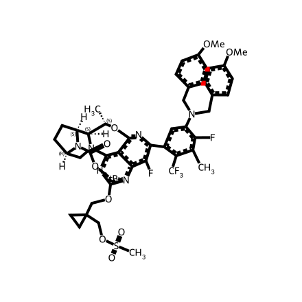 COc1ccc(CN(Cc2ccc(OC)cc2)c2cc(-c3nc4c5c(nc(OCC6(COS(C)(=O)=O)CC6)nc5c3F)N3C[C@H]5CC[C@@H]([C@H]3[C@H](C)O4)N5C(=O)OC(C)(C)C)c(C(F)(F)F)c(C)c2F)cc1